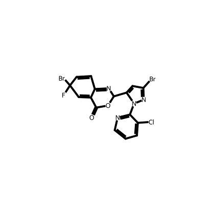 O=C1OC(c2cc(Br)nn2-c2ncccc2Cl)N=C2C=CC(F)(Br)C=C12